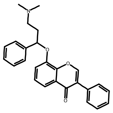 CN(C)CCC(Oc1cccc2c(=O)c(-c3ccccc3)coc12)c1ccccc1